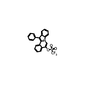 O=S(=O)(Oc1cn2c3ccccc3c(-c3ccccc3)c2c2ccccc12)C(F)(F)F